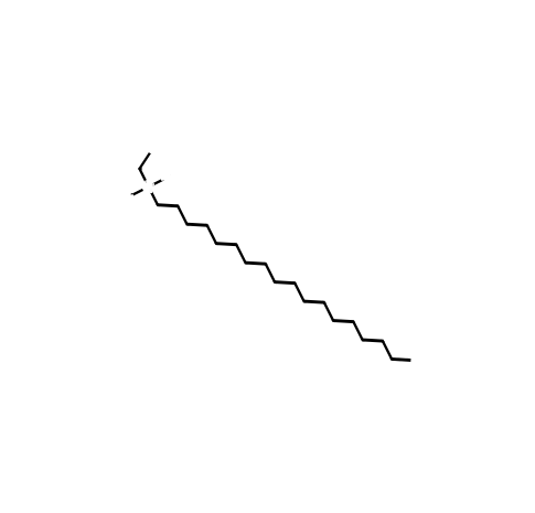 CCCCCCCCCCCCCCCCCC[Si](Cl)(Cl)CC